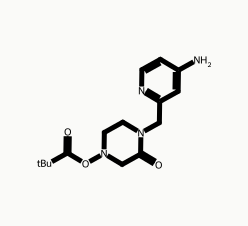 CC(C)(C)C(=O)ON1CCN(Cc2cc(N)ccn2)C(=O)C1